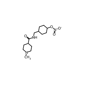 CN1CCC(C(=O)NCC2CCC(O[N+](=O)[O-])CC2)CC1